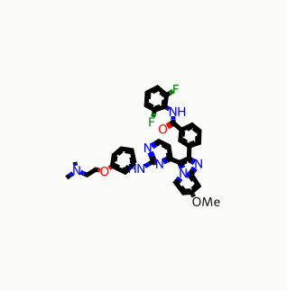 COc1ccn2c(-c3ccnc(Nc4cccc(OCCN(C)C)c4)n3)c(-c3cccc(C(=O)Nc4c(F)cccc4F)c3)nc2c1